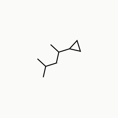 CC(C)[CH]C(C)C1CC1